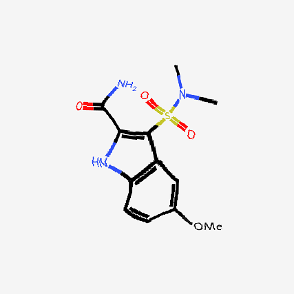 COc1ccc2[nH]c(C(N)=O)c(S(=O)(=O)N(C)C)c2c1